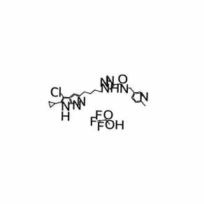 Cc1ccc(CNC(=O)c2cn(CCCCc3cc4c(Cl)c(C5CC5)[nH]c4nn3)nn2)cn1.O=C(O)C(F)(F)F